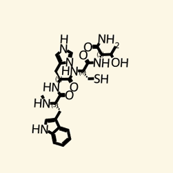 CN[C@@H](Cc1c[nH]c2ccccc12)C(=O)N[C@@H](Cc1c[nH]cn1)C(=O)N[C@@H](CS)C(=O)N[C@H](C(N)=O)C(C)O